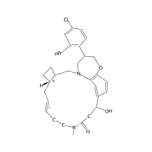 CCCc1cc(Cl)ccc1C1COc2ccc3cc2N(C1)CC1CC[C@H]1C/C=C/CCN(C)C(=O)CC3O